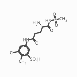 Cc1c(Cl)cc(NC(=O)CC[C@H](N)C(=O)NS(C)(=O)=O)cc1S(=O)(=O)O